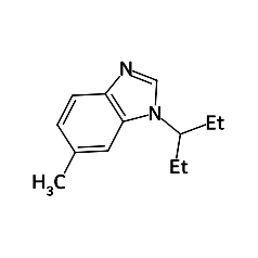 CCC(CC)n1cnc2ccc(C)cc21